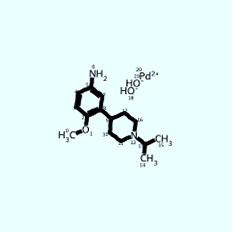 COc1ccc(N)cc1C1CCN(C(C)C)CC1.[OH-].[OH-].[Pd+2]